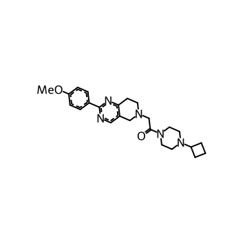 COc1ccc(-c2ncc3c(n2)CCN(CC(=O)N2CCN(C4CCC4)CC2)C3)cc1